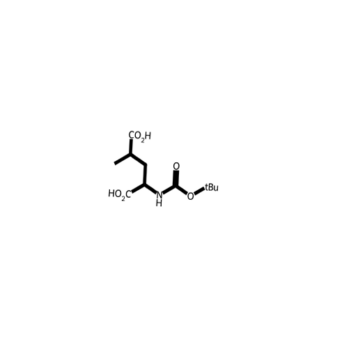 CC(CC(NC(=O)OC(C)(C)C)C(=O)O)C(=O)O